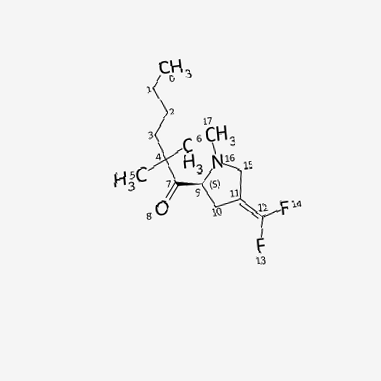 CCCCC(C)(C)C(=O)[C@@H]1CC(=C(F)F)CN1C